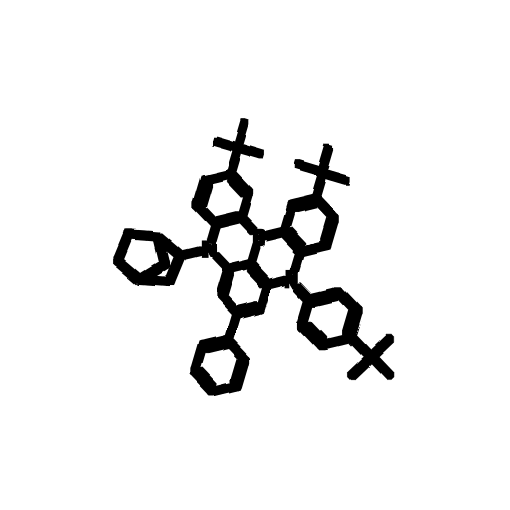 CC(C)(C)c1ccc(N2c3ccc(C(C)(C)C)cc3B3c4cc(C(C)(C)C)ccc4N(C4CC5CCC4C5)c4cc(-c5ccccc5)cc2c43)cc1